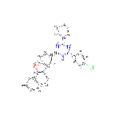 Clc1ccc(-c2nc(-c3ccccc3)nc(-c3ccc4oc5c6ccccc6ccc5c4c3)n2)cc1